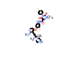 Cn1nc(C(=O)Nc2ccc(Oc3ccnc(N)c3C#CC(C)(C)N3CCNCC3)c(F)c2)c(=O)n(-c2ccc(F)cc2)c1=O